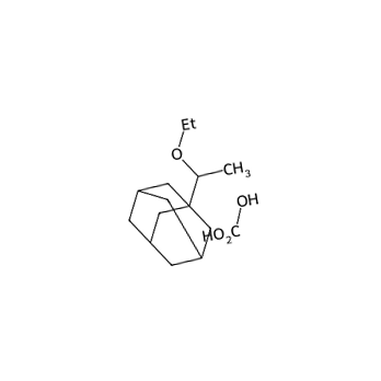 CCOC(C)C12CC3CC(CC(C3)C1)C2.O=C(O)O